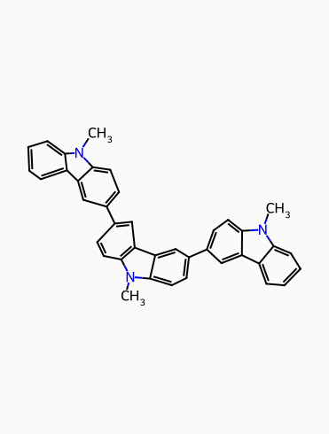 Cn1c2ccccc2c2cc(-c3ccc4c(c3)c3cc(-c5ccc6c(c5)c5ccccc5n6C)ccc3n4C)ccc21